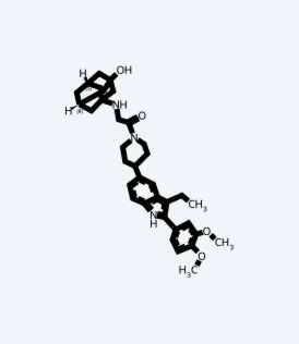 CCc1c(-c2ccc(OC)c(OC)c2)[nH]c2ccc(C3CCN(C(=O)CNC45C[C@@H]6C[C@@H](CC(O)(C6)C4)C5)CC3)cc12